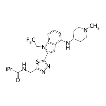 CC(C)C(=O)NCc1nnc(-c2cc3c(NC4CCN(C)CC4)cccc3n2CC(F)(F)F)s1